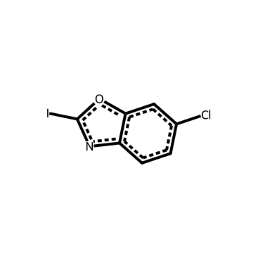 Clc1ccc2nc(I)oc2c1